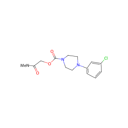 CNC(=O)COC(=O)N1CCN(c2cccc(Cl)c2)CC1